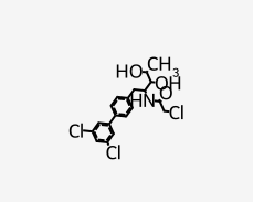 CC(O)C(O)C(Cc1ccc(-c2cc(Cl)cc(Cl)c2)cc1)NC(=O)CCl